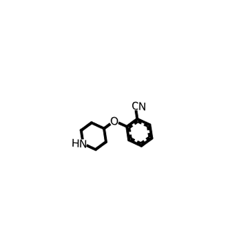 N#Cc1ccccc1OC1CCNCC1